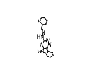 C(=N\Nc1nnc2c(n1)[nH]c1ccccc12)/c1ccccn1